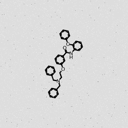 O=C(Nc1ccccc1Oc1ccccc1)c1cccc(OCCN(Cc2ccccc2)Cc2ccccc2)c1